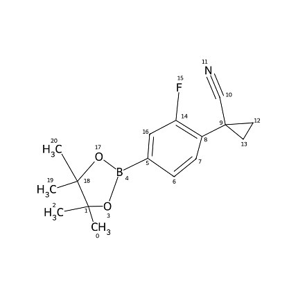 CC1(C)OB(c2ccc(C3(C#N)CC3)c(F)c2)OC1(C)C